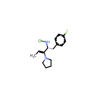 C/C=C(/[C@@H](Cc1ccc(F)cc1)NCl)N1CCCC1